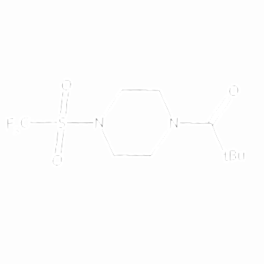 CC(C)(C)C(=O)N1CCN(S(=O)(=O)C(F)(F)F)CC1